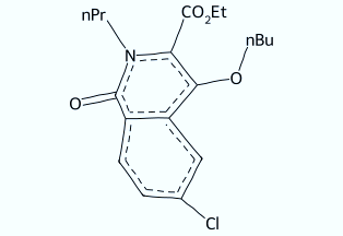 CCCCOc1c(C(=O)OCC)n(CCC)c(=O)c2ccc(Cl)cc12